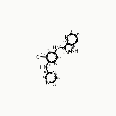 Clc1cc(Nc2n[nH]c3cccnc23)ccc1Nc1cnccn1